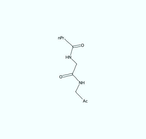 CCCC(=O)NCC(=O)NCC(C)=O